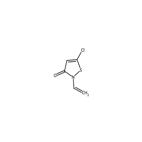 C=Cn1sc(Cl)cc1=O